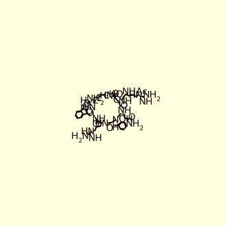 CC(=O)N[C@H](CCCNC(=N)N)C(O)N[C@H]1CC(=O)NCCCC[C@@H](C(N)=O)NC(=O)[C@H](Cc2c[nH]c3ccccc23)NC(=O)[C@H](CCCNC(=N)N)NC(=O)[C@@H](Cc2ccccc2)NC(O)[C@H](CCC(N)=O)NC1=O